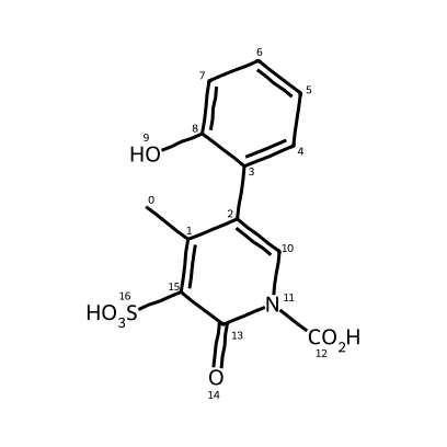 Cc1c(-c2ccccc2O)cn(C(=O)O)c(=O)c1S(=O)(=O)O